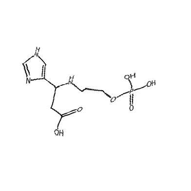 O=C(O)CC(NCCOP(=O)(O)O)c1c[nH]cn1